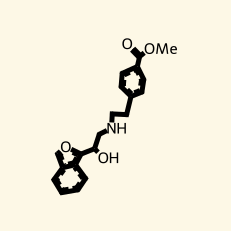 COC(=O)c1ccc(CCNCC(O)c2occ3ccccc23)cc1